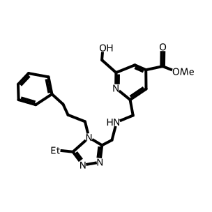 CCc1nnc(CNCc2cc(C(=O)OC)cc(CO)n2)n1CCCc1ccccc1